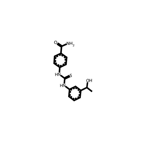 CC(O)c1cccc(NC(=S)Nc2ccc(C(N)=O)cc2)c1